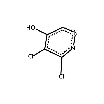 Oc1cnnc(Cl)c1Cl